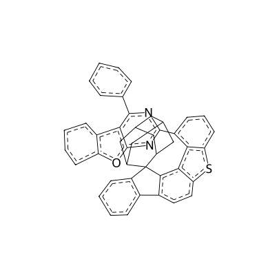 c1ccc(-c2nc(-c3cccc4sc5ccc6c(c5c34)C3(c4ccccc4-6)C4CC5CC(C4)CC3C5)nc3oc4ccccc4c23)cc1